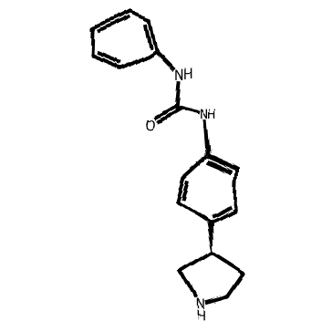 O=C(Nc1ccccc1)Nc1ccc([C@H]2CCNC2)cc1